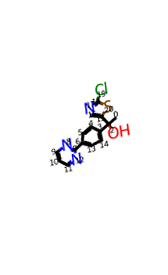 CC(O)(c1ccc(-c2ncccn2)cc1)c1cnc(Cl)s1